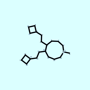 CN1CCCC(CCC2CCC2)C(CCC2CCC2)CCC1